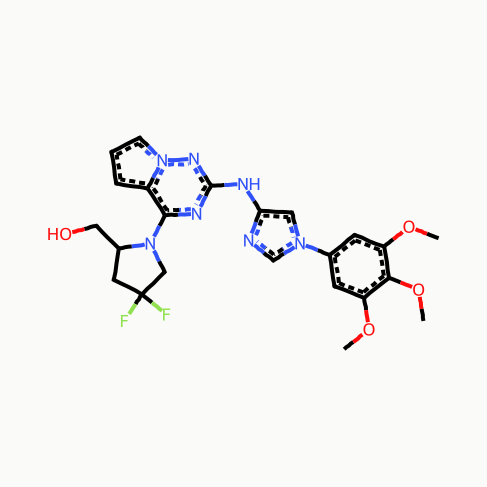 COc1cc(-n2cnc(Nc3nc(N4CC(F)(F)CC4CO)c4cccn4n3)c2)cc(OC)c1OC